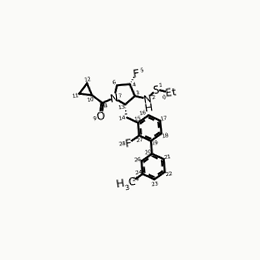 CCSNC1[C@@H](F)CN(C(=O)C2CC2)[C@H]1Cc1cccc(-c2cccc(C)c2)c1F